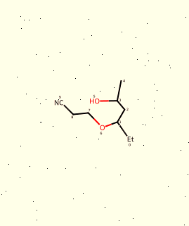 CCC(CC(C)O)OCCC#N